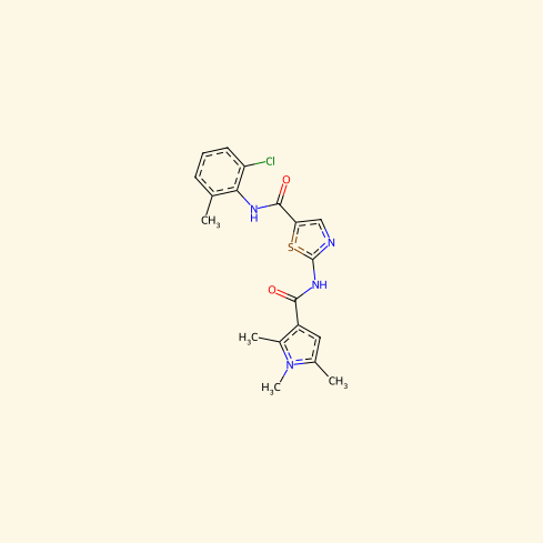 Cc1cccc(Cl)c1NC(=O)c1cnc(NC(=O)c2cc(C)n(C)c2C)s1